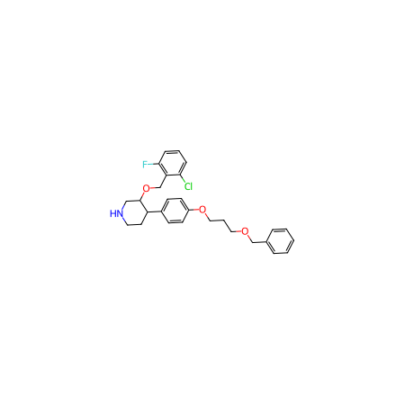 Fc1cccc(Cl)c1COC1CNCCC1c1ccc(OCCCOCc2ccccc2)cc1